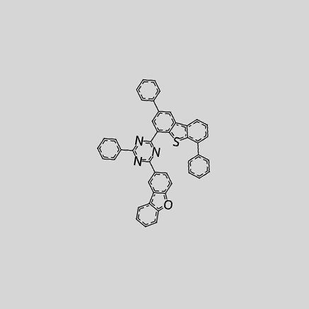 c1ccc(-c2cc(-c3nc(-c4ccccc4)nc(-c4ccc5oc6ccccc6c5c4)n3)c3sc4c(-c5ccccc5)cccc4c3c2)cc1